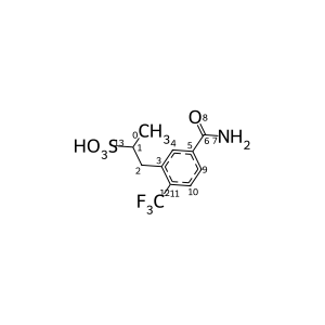 CC(Cc1cc(C(N)=O)ccc1C(F)(F)F)S(=O)(=O)O